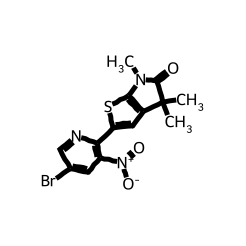 CN1C(=O)C(C)(C)c2cc(-c3ncc(Br)cc3[N+](=O)[O-])sc21